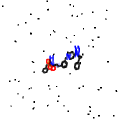 O=C(/C=C/c1cccc(CN2CCC(NC3CC3c3ccccc3)CC2)c1)NS(=O)(=O)Cc1ccccc1